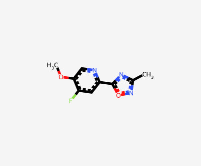 COc1cnc(-c2nc(C)no2)cc1F